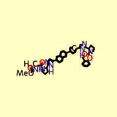 COC(=O)NC(C)C(=O)N1CCCC1c1ncc(-c2ccc3cc(-c4ccc(-c5cnc(C6CCCN6C(=O)OCc6ccccc6)[nH]5)cc4)ccc3c2)[nH]1